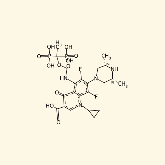 C[C@@H]1CN(c2c(F)c(NC(=O)OC(C)(P(=O)(O)O)P(=O)(O)O)c3c(=O)c(C(=O)O)cn(C4CC4)c3c2F)C[C@H](C)N1